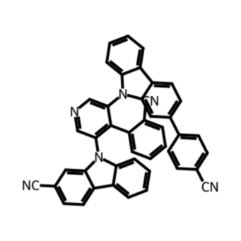 N#Cc1ccc(-c2ccc3c4ccccc4n(-c4cncc(-n5c6ccccc6c6ccc(C#N)cc65)c4-c4ccccc4C#N)c3c2)cc1